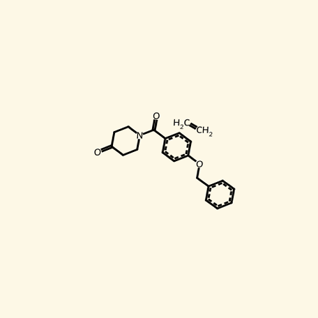 C=C.O=C1CCN(C(=O)c2ccc(OCc3ccccc3)cc2)CC1